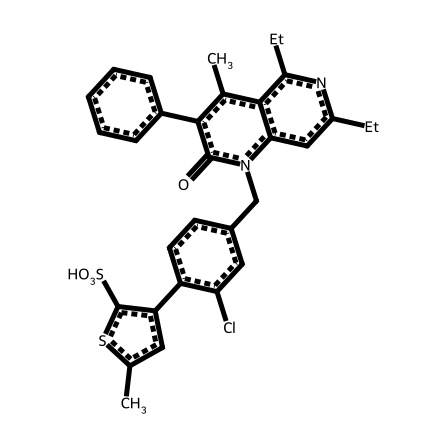 CCc1cc2c(c(CC)n1)c(C)c(-c1ccccc1)c(=O)n2Cc1ccc(-c2cc(C)sc2S(=O)(=O)O)c(Cl)c1